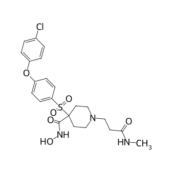 CNC(=O)CCN1CCC(C(=O)NO)(S(=O)(=O)c2ccc(Oc3ccc(Cl)cc3)cc2)CC1